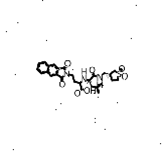 CC(C)C[C@@H](NC(CCN1C(=O)c2cc3ccccc3cc2C1=O)C(=O)O)C(=O)NC[C@@H]1CCS(=O)(=O)C1